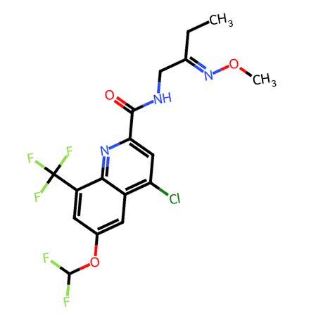 CCC(CNC(=O)c1cc(Cl)c2cc(OC(F)F)cc(C(F)(F)F)c2n1)=NOC